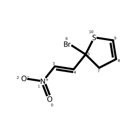 O=[N+]([O-])C=CC1(Br)CC=CS1